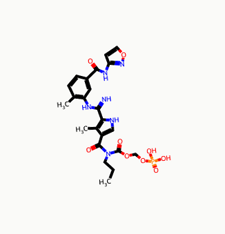 CCCN(C(=O)OCOP(=O)(O)O)C(=O)c1c[nH]c(C(=N)Nc2cc(C(=O)Nc3ccon3)ccc2C)c1C